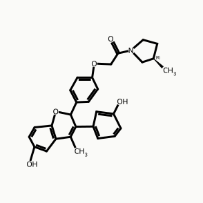 CC1=C(c2cccc(O)c2)C(c2ccc(OCC(=O)N3CC[C@@H](C)C3)cc2)Oc2ccc(O)cc21